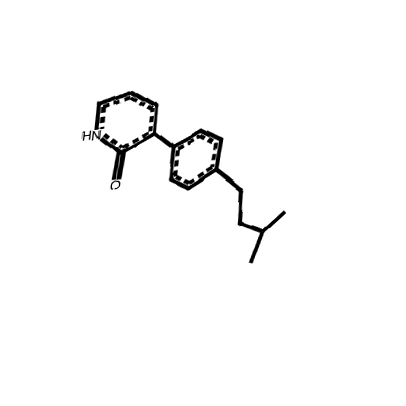 CC(C)CCc1ccc(-c2ccc[nH]c2=O)cc1